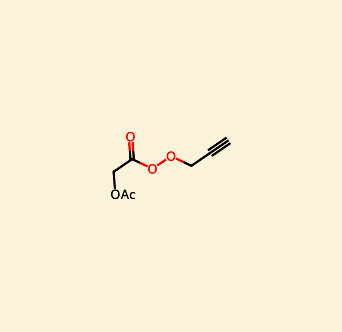 C#CCOOC(=O)COC(C)=O